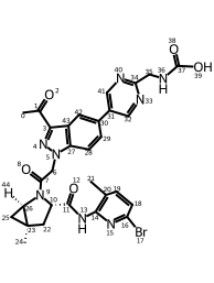 CC(=O)c1nn(CC(=O)N2[C@H](C(=O)Nc3nc(Br)ccc3C)C[C@@]3(C)C[C@@H]23)c2ccc(-c3cnc(CNC(=O)O)nc3)cc12